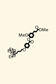 CCO[Si](CCCCOc1ccc(C(=O)Oc2ccc(C=CC(=O)OC)cc2OC)cc1)(OCC)OCC